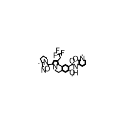 COc1cc2c(cc1C(=O)Nc1cccn(C)c1=O)-c1c(CC(F)(F)F)cc(C(=O)N3CCC[C@]3(C)C#N)n1CC2